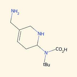 CC(C)(C)N(C(=O)O)C1CC=C(CN)CN1